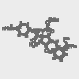 CCCCCCN1CCC(NC(=O)[C@@]2(CC(=O)OC(C)(C)C)CN(Cc3c(Cl)cccc3C(F)F)C[C@@H]2C)CC1